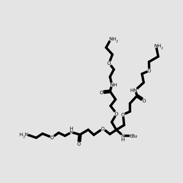 CC(C)(C)NC(COCCC(=O)NCCOCCN)(COCCC(=O)NCCOCCN)COCCC(=O)NCCOCCN